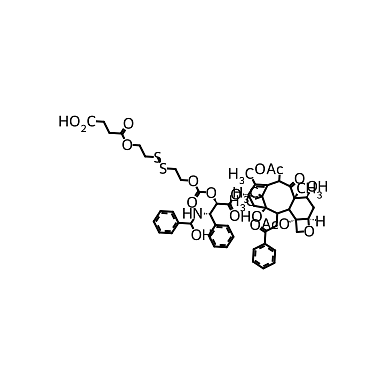 CC(=O)OC1C(=O)[C@@]2(C)C(C(CC(=O)c3ccccc3)[C@]3(O)C[C@H](OC(=O)[C@H](OC(=O)OCCSSCCOC(=O)CCC(=O)O)[C@@H](NC(O)c4ccccc4)c4ccccc4)C(C)=C1C3(C)C)[C@]1(OC(C)=O)CO[C@@H]1C[C@@H]2O